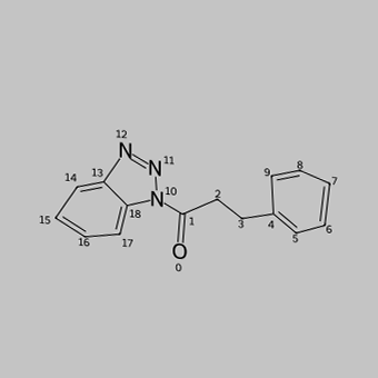 O=C(CCc1ccccc1)n1nnc2ccccc21